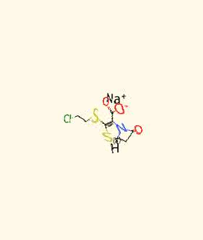 O=C([O-])C1=C(SCCCl)S[C@H]2CC(=O)N12.[Na+]